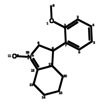 COc1ccccc1C1C[N+]([O-])=C2CCCCC21